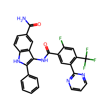 NC(=O)c1ccc2[nH]c(-c3ccccc3)c(NC(=O)c3cc(-c4ncccn4)c(C(F)(F)F)cc3F)c2c1